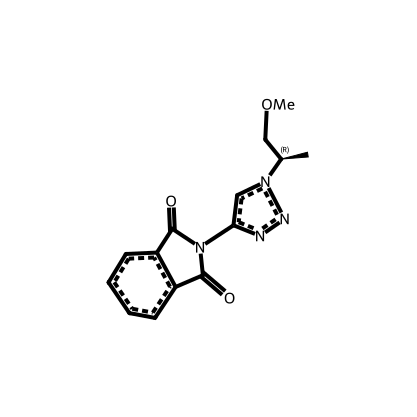 COC[C@@H](C)n1cc(N2C(=O)c3ccccc3C2=O)nn1